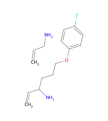 C=CC(N)CCCOc1ccc(F)cc1.C=CCN